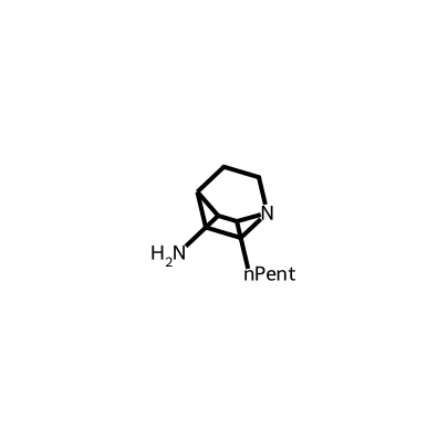 CCCCCC1C(N)C2CCN1CC2